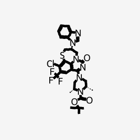 C[C@@H]1CN(c2nc(=O)n3c4c(c(Cl)c(C(F)(F)F)cc24)SC[C@@H](n2cnc4ccccc42)C3)C[C@H](C)N1C(=O)OC(C)(C)C